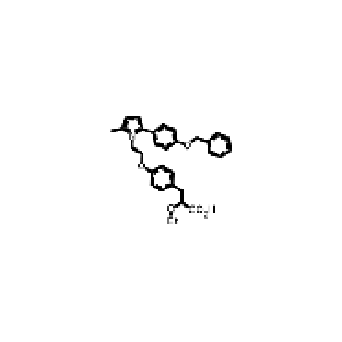 CCOC(Cc1ccc(OCCn2c(C)ccc2-c2ccc(OCc3ccccc3)cc2)cc1)C(=O)O